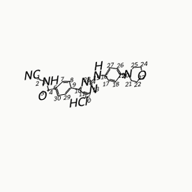 Cl.N#CCNC(=O)c1ccc(-c2ccnc(Nc3ccc(N4CCOCC4)cc3)n2)cc1